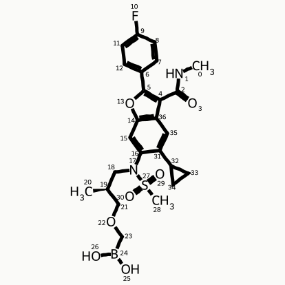 CNC(=O)c1c(-c2ccc(F)cc2)oc2cc(N(C[C@H](C)COCB(O)O)S(C)(=O)=O)c(C3CC3)cc12